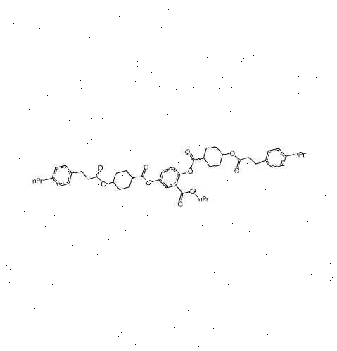 CCCOC(=O)c1cc(OC(=O)C2CCC(OC(=O)CCc3ccc(CCC)cc3)CC2)ccc1OC(=O)C1CCC(OC(=O)CCc2ccc(CCC)cc2)CC1